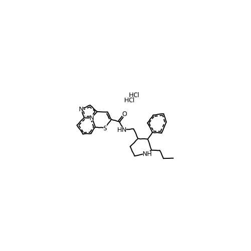 CCCC1NCCC(CNC(=O)C2=Cc3cnc4cccc(n34)S2)C1c1ccccc1.Cl.Cl